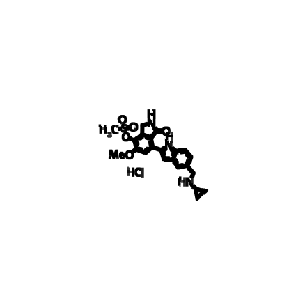 COc1cc(-c2cc3cc(CNC4CC4)ccc3[nH]2)c2c(c1OS(C)(=O)=O)CNC2=O.Cl